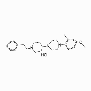 COc1ccc(N2CCN(C3CCN(CCc4ccccc4)CC3)CC2)c(C)c1.Cl